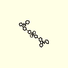 O=S(=O)(c1ccc(-c2ccc3c(c2)c2ccccc2n3-c2ccccc2)cc1)c1ccc(-c2ccc3c4ccccc4n(-c4ccccc4)c3c2)cc1